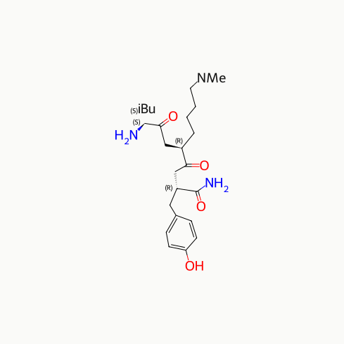 CC[C@H](C)[C@H](N)C(=O)C[C@@H](CCCCNC)C(=O)C[C@@H](Cc1ccc(O)cc1)C(N)=O